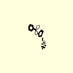 CC(C)(C)[Si](C)(C)OCC[C@H]1CC[C@H](OC(=O)c2ccccc2)C1